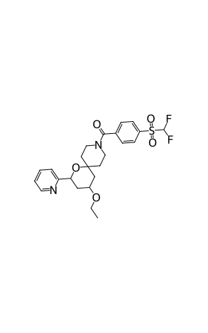 CCOC1CC(c2ccccn2)OC2(CCN(C(=O)c3ccc(S(=O)(=O)C(F)F)cc3)CC2)C1